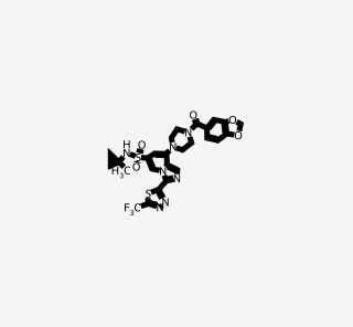 CC1(NS(=O)(=O)c2cc(N3CCN(C(=O)c4ccc5c(c4)OCO5)CC3)c3cnc(-c4nnc(C(F)(F)F)s4)n3c2)CC1